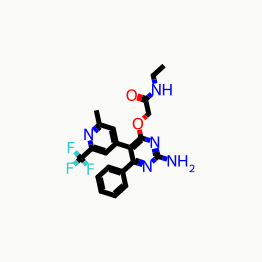 CCNC(=O)COc1nc(N)nc(-c2ccccc2)c1-c1cc(C)nc(C(F)(F)F)c1